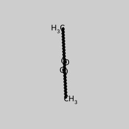 CCCCCCCCCCCCCCCCCCCCCCOC(=O)CCCCC(=O)OCCCCCCCCCCCCCCCCCC